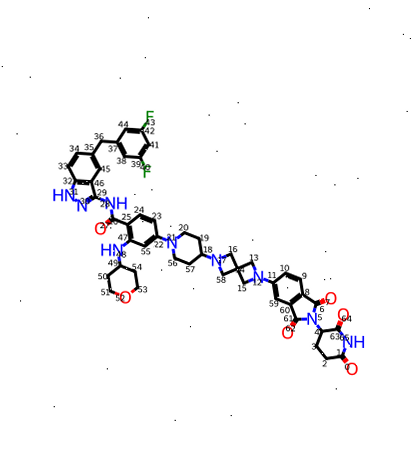 O=C1CCC(N2C(=O)c3ccc(N4CC5(C4)CN(C4CCN(c6ccc(C(=O)Nc7n[nH]c8ccc(Cc9cc(F)cc(F)c9)cc78)c(NC7CCOCC7)c6)CC4)C5)cc3C2=O)C(=O)N1